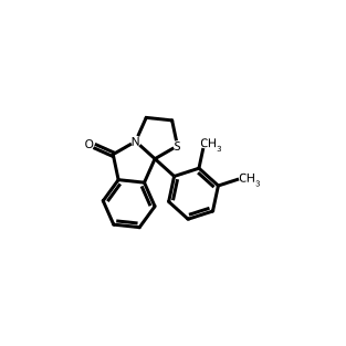 Cc1cccc(C23SCCN2C(=O)c2ccccc23)c1C